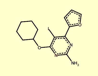 Nc1nc(OC2CCCCC2)c(I)c(-c2ccco2)n1